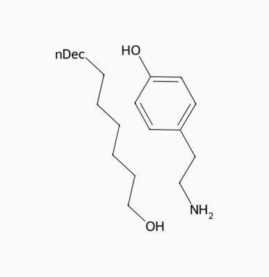 CCCCCCCCCCCCCCCCO.NCCc1ccc(O)cc1